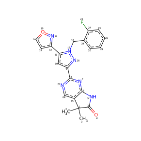 CC1(C)C(=O)Nc2nc(-c3cc(-c4ccon4)n(Cc4ccccc4F)n3)ncc21